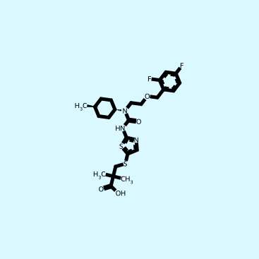 CC(C)(CSc1cnc(NC(=O)N(CCOCc2ccc(F)cc2F)[C@H]2CC[C@H](C)CC2)s1)C(=O)O